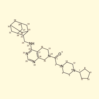 O=C(CN1CCN(C2CCCC2)CC1)N1CCc2c(ncnc2NCC2C3CC4CC(C3)CC2C4)C1